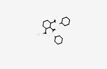 O=C(O)C1CCCC(C(=O)OC2CCCCC2)C1C(=O)OC1CCCCC1